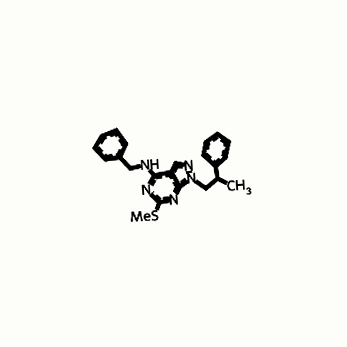 CSc1nc(NCc2ccccc2)c2cnn(CC(C)c3ccccc3)c2n1